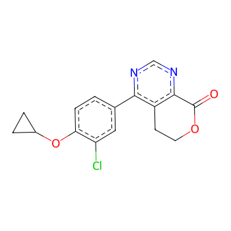 O=C1OCCc2c1ncnc2-c1ccc(OC2CC2)c(Cl)c1